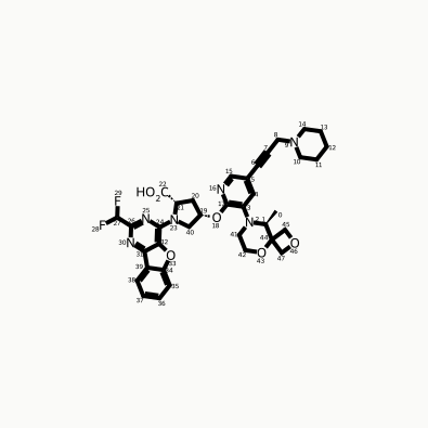 C[C@@H]1N(c2cc(C#CCN3CCCCC3)cnc2O[C@H]2C[C@@H](C(=O)O)N(c3nc(C(F)F)nc4c3oc3ccccc34)C2)CCOC12COC2